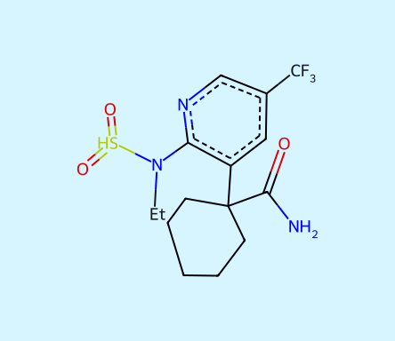 CCN(c1ncc(C(F)(F)F)cc1C1(C(N)=O)CCCCC1)[SH](=O)=O